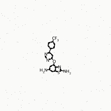 Nc1cc(Oc2cc(-c3ccc(C(F)(F)F)cc3)ncn2)c2nc(N)sc2c1